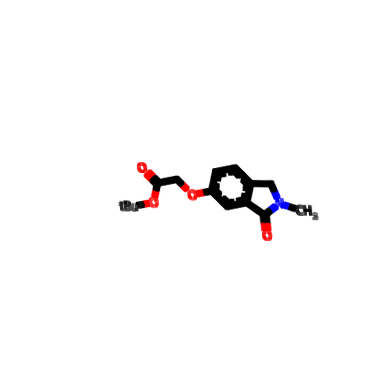 CN1Cc2ccc(OCC(=O)OC(C)(C)C)cc2C1=O